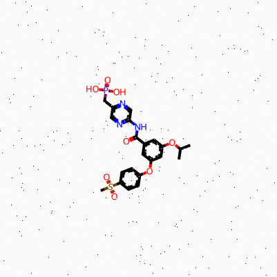 CC(C)Oc1cc(Oc2ccc(S(C)(=O)=O)cc2)cc(C(=O)Nc2cnc(CP(=O)(O)O)cn2)c1